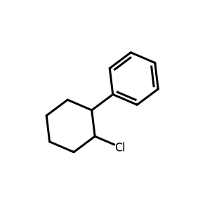 ClC1CCCCC1c1ccccc1